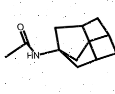 CC(=O)NC12CC3CC4CC(C1)C43C2